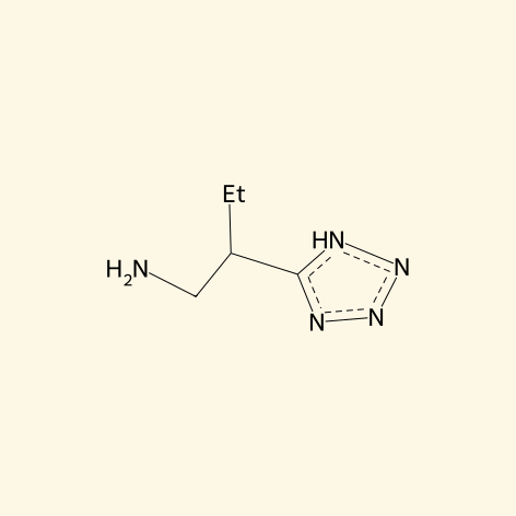 CCC(CN)c1nnn[nH]1